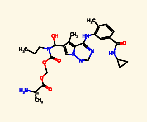 CCCN(C(=O)OCOC(=O)[C@H](C)N)C(O)c1cn2ncnc(Nc3cc(C(=O)NC4CC4)ccc3C)c2c1C